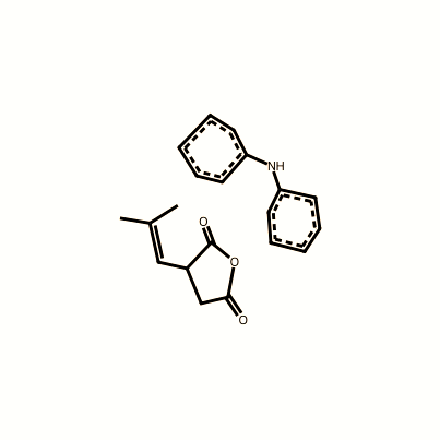 CC(C)=CC1CC(=O)OC1=O.c1ccc(Nc2ccccc2)cc1